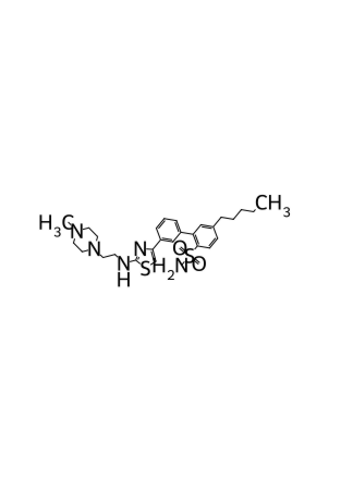 CCCCCc1ccc(S(N)(=O)=O)c(-c2cccc(-c3csc(NCCN4CCN(C)CC4)n3)c2)c1